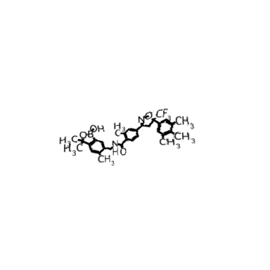 Cc1cc2c(cc1CNC(=O)c1ccc(C3=NOC(c4cc(C)c(C)c(C)c4)(C(F)(F)F)C3)cc1C)B(O)OC2(C)C